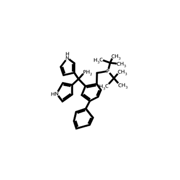 CC(C)(C)P(Cc1ccc(-c2ccccc2)cc1C(P)(c1cc[nH]c1)c1cc[nH]c1)C(C)(C)C